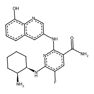 NC(=O)c1cc(F)c(N[C@@H]2CCCC[C@@H]2N)nc1Nc1cnc2c(O)cccc2c1